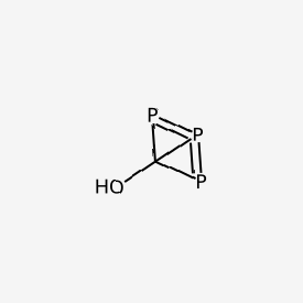 OC12P=P1=P2